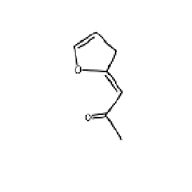 CC(=O)C=C1CC=CO1